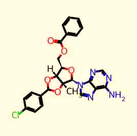 C[C@@]12OC(c3ccc(Cl)cc3)O[C@@H]1[C@@H](COC(=O)c1ccccc1)O[C@H]2n1cnc2c(N)ncnc21